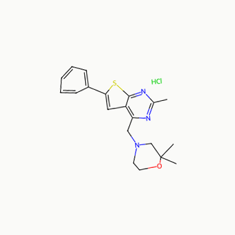 Cc1nc(CN2CCOC(C)(C)C2)c2cc(-c3ccccc3)sc2n1.Cl